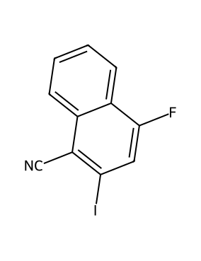 N#Cc1c(I)cc(F)c2ccccc12